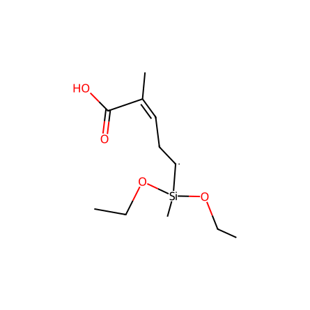 CCO[Si](C)([CH]CC=C(C)C(=O)O)OCC